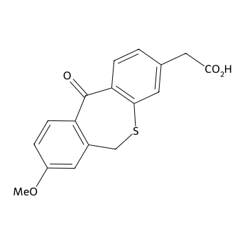 COc1ccc2c(c1)CSc1cc(CC(=O)O)ccc1C2=O